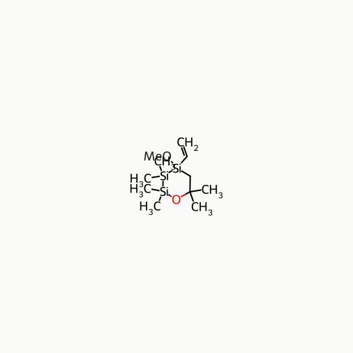 C=C[Si]1(OC)CC(C)(C)O[Si](C)(C)[Si]1(C)C